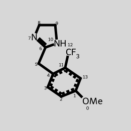 COc1ccc(CC2=NCCN2)c(C(F)(F)F)c1